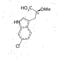 CO[C@@H](Cc1c[nH]c2cc(Cl)ccc12)C(=O)O